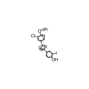 CCCOc1ncc(-c2nc(-c3ccc(O)c(I)c3)no2)cc1Cl